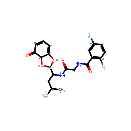 CC(C)CC(NC(=O)CNC(=O)c1cc(Br)ccc1Br)B1OC2=CC=CC(=O)C2O1